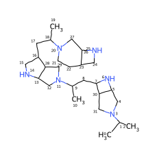 CC(C)N1CC2NC(CC(C)N3CC4NCC(CC(C)N5CCC6CNC6C5)C4C3)C2C1